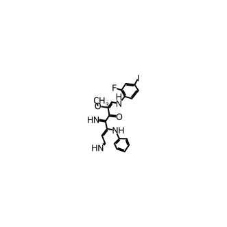 CO/C(=C/Nc1ccc(I)cc1F)C(=O)C(=N)/C(=C/C=N)Nc1ccccc1